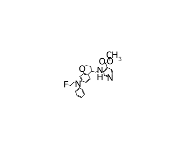 COC(=O)c1ccncc1NCC1CCOc2cc(N(CCF)c3ccccc3)ccc21